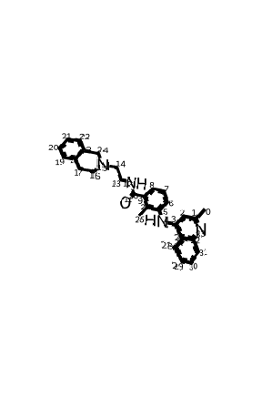 Cc1cc(Nc2cccc(C(=O)NCCN3CCc4ccccc4C3)c2C)c2ccccc2n1